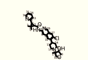 CC1(C)C(C(=O)Nc2cc3cc(C4CCN(C5(C)COCC5O)CC4)c(Cl)cc3cn2)C1c1ccccn1